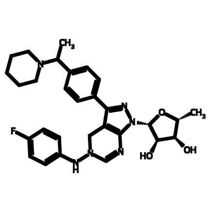 CC(c1ccc(-c2nn([C@@H]3O[C@H](C)[C@@H](O)[C@H]3O)c3c2CN(Nc2ccc(F)cc2)C=N3)cc1)N1CCCCC1